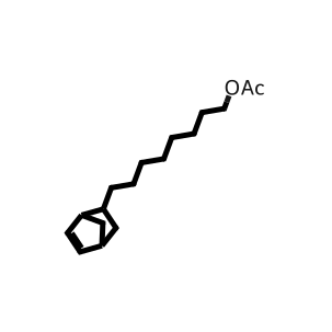 CC(=O)OCCCCCCCCC1CC2C=CC1C2